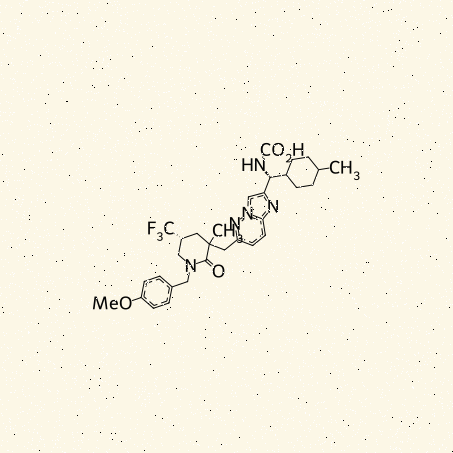 COc1ccc(CN2C[C@H](C(F)(F)F)CC(C)(Cc3ccc4nc([C@@H](NC(=O)O)C5CCC(C)CC5)cn4n3)C2=O)cc1